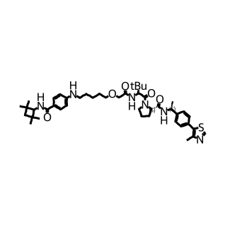 Cc1ncsc1-c1ccc([C@H](C)NC(=O)[C@@H]2CCCN2C(=O)C(NC(=O)COCCCCCNc2ccc(C(=O)NC3C(C)(C)CC3(C)C)cc2)C(C)(C)C)cc1